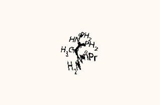 CCCN(N)[C@H](C)C(P)NP